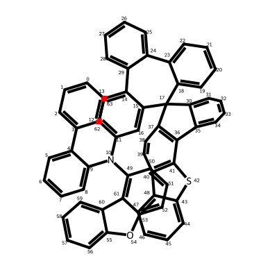 c1ccc(-c2ccccc2N(c2ccc3c(c2)C2(c4ccccc4-c4ccccc4-3)c3ccccc3-c3c2ccc2c3sc3ccccc32)c2cccc3oc4ccccc4c23)cc1